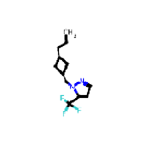 CCC[C@H]1C[C@@H](CN2N=CCC2C(F)(F)F)C1